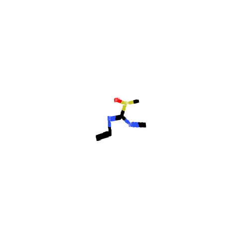 C=C/N=C(\N=C)[S+](C)[O-]